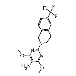 COc1nc(N2CCc3cc(C(F)(F)F)ccc3C2)nc(OC)c1N